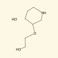 Cl.OCCOC1CCCNC1